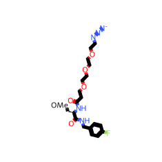 COC[C@H](NC(=O)CCOCCOCCOCCN=[N+]=[N-])C(=O)NCc1ccc(F)cc1